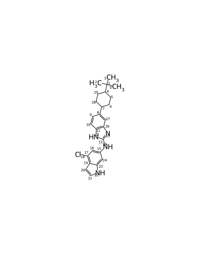 CC(C)(C)C1CCC(c2ccc3[nH]c(Nc4cc(Cl)c5cc[nH]c5c4)nc3c2)CC1